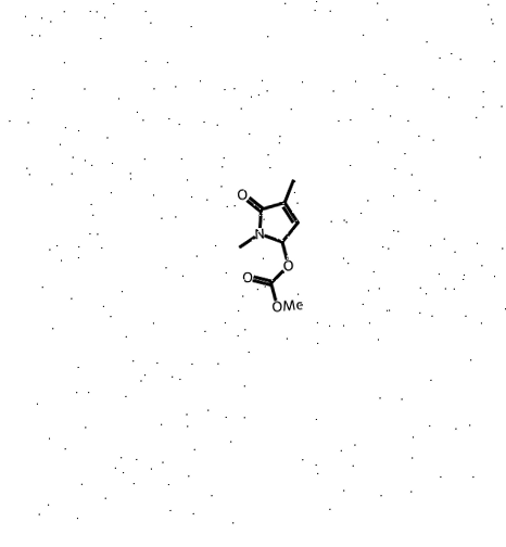 COC(=O)OC1C=C(C)C(=O)N1C